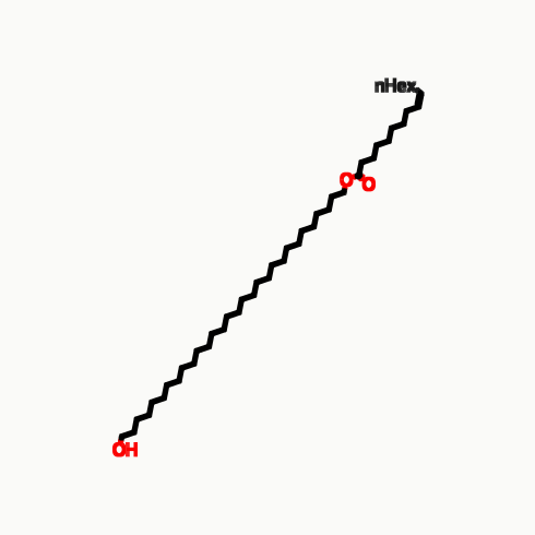 CCCCCC/C=C\CCCCCCCC(=O)OCCCCCCCCCCCCCCCCCCCCCCCCCCCCCCO